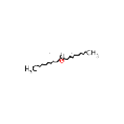 CCCCCCCCCCOCCCCCCCCCC.[Al]